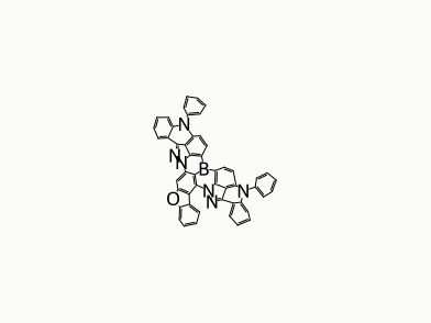 c1ccc(N2c3ccccc3-c3nn4c5c(ccc2c35)B2c3c-4cc4oc5ccccc5c4c3-n3nc4c5c(ccc2c53)N(c2ccccc2)c2ccccc2-4)cc1